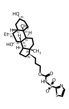 CC[C@H]1[C@@H](O)[C@@H]2[C@H](CC[C@]3(C)[C@@H](CCCOC(=O)NS(=O)(=O)c4nccs4)CC[C@@H]23)[C@@]2(C)CC[C@@H](O)C[C@@H]12